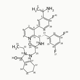 C=C(N)c1cc(-c2cccnc2[C@H](Cc2cc(F)cc(F)c2)NC(=O)Cn2c3c(c(=O)n2CC)CCCC3)ccc1F